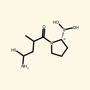 CC(CC(N)S)C(=O)N1CCC[C@H]1B(O)O